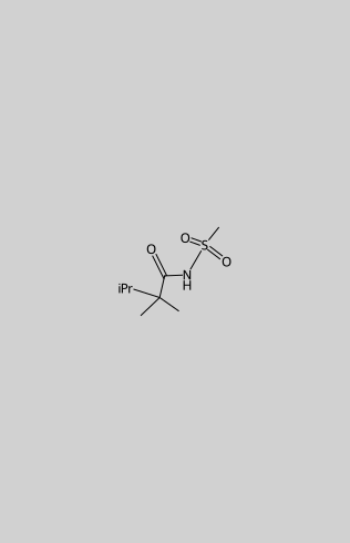 CC(C)C(C)(C)C(=O)NS(C)(=O)=O